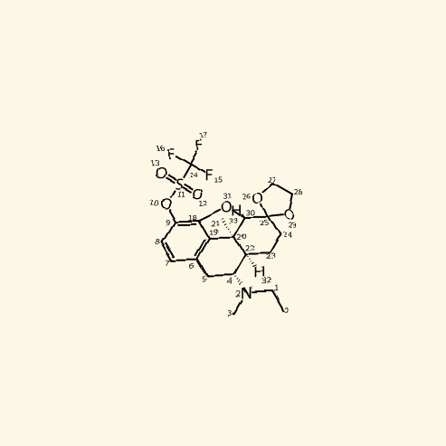 CCN(C)[C@@H]1Cc2ccc(OS(=O)(=O)C(F)(F)F)c3c2[C@]2(C)[C@H]1CCC1(OCCO1)[C@@H]2O3